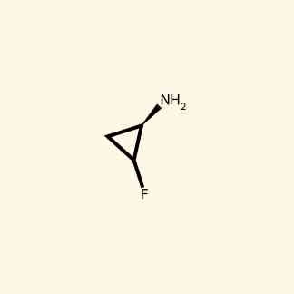 N[C@@H]1CC1F